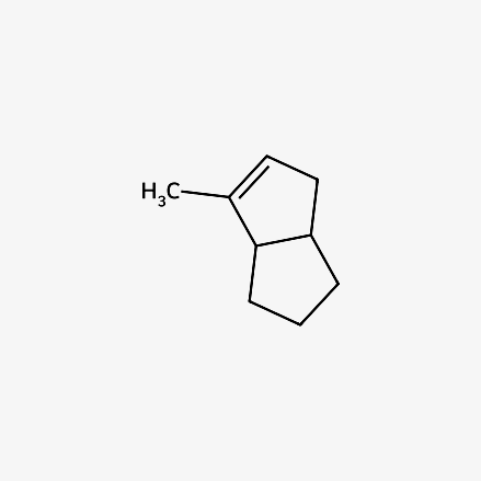 CC1=CCC2CCCC12